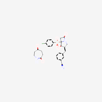 N#Cc1cccc(C=C2CN3C(=O)CC3(S(=O)(=O)c3ccc(Cl)cc3)C2=O)c1.O=C1CCNC(=O)CC1